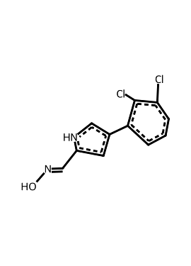 ON=Cc1cc(-c2cccc(Cl)c2Cl)c[nH]1